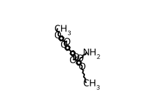 CCCCCCCCOc1ccc(C(=O)Oc2ccc(-c3ccc(OC(=O)c4ccc(OCCC)cc4)cc3)cc2)c(OCCCN)c1